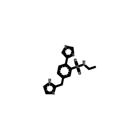 CCNS(=O)(=O)c1cc(Cc2ncc[nH]2)ccc1-c1cncs1